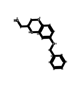 OCC1COc2ccc(OCc3ccccc3)cc2O1